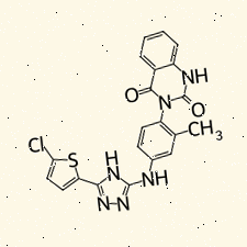 Cc1cc(Nc2nnc(-c3ccc(Cl)s3)[nH]2)ccc1-n1c(=O)[nH]c2ccccc2c1=O